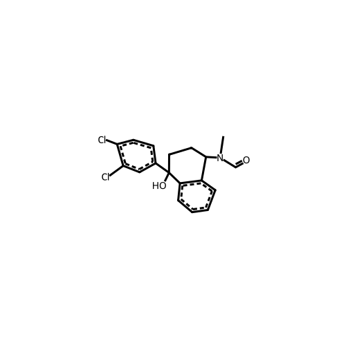 CN(C=O)C1CCC(O)(c2ccc(Cl)c(Cl)c2)c2ccccc21